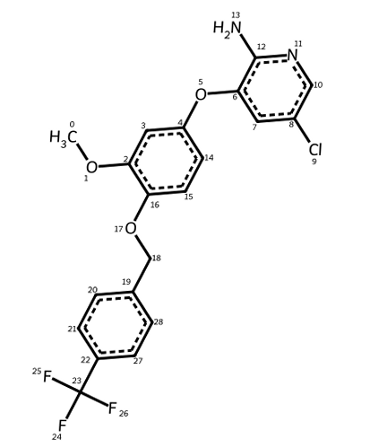 COc1cc(Oc2cc(Cl)cnc2N)ccc1OCc1ccc(C(F)(F)F)cc1